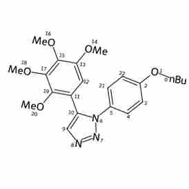 CCCCOc1ccc(-n2nncc2-c2cc(OC)c(OC)c(OC)c2OC)cc1